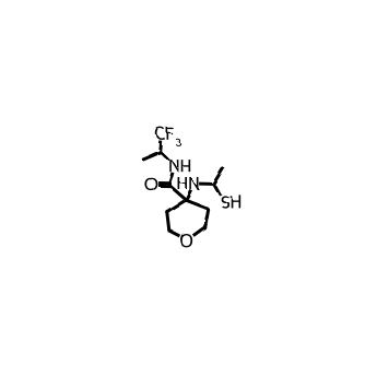 CC(S)NC1(C(=O)NC(C)C(F)(F)F)CCOCC1